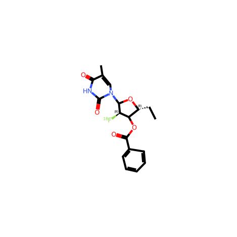 CC[C@H]1OC(n2cc(C)c(=O)[nH]c2=O)[C@H]([18F])C1OC(=O)c1ccccc1